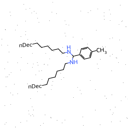 CCCCCCCCCCCCCCCCNC(NCCCCCCCCCCCCCCCC)c1ccc(C)cc1